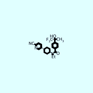 CCN(C(=O)c1ccc([C@](C)(O)C(F)(F)F)cc1)[C@H]1CC[C@@H](c2ccc(C#N)nc2)CC1